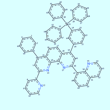 c1ccc(-c2cc(-c3ccccn3)nc3c2ccc2c(-c4cccc([Si](c5ccccc5)(c5ccccc5)c5ccccc5)c4)cc(-c4cccc5cccnc45)nc23)cc1